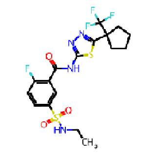 CCNS(=O)(=O)c1ccc(F)c(C(=O)Nc2nnc(C3(C(F)(F)F)CCCC3)s2)c1